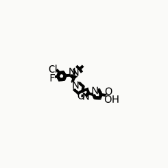 CC(C)(C)n1cc(CN2CCC3(CC2)CC(c2ccc(C(=O)O)cn2)=NO3)c(-c2ccc(F)c(Cl)c2)n1